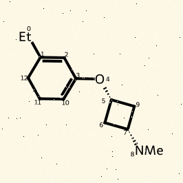 CCC1=CC(O[C@H]2C[C@@H](NC)C2)=CCC1